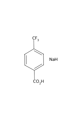 O=C(O)c1ccc(C(F)(F)F)cc1.[NaH]